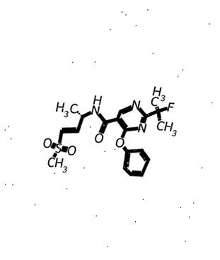 C[C@@H](/C=C/S(C)(=O)=O)NC(=O)c1cnc(C(C)(C)F)nc1Oc1ccccc1